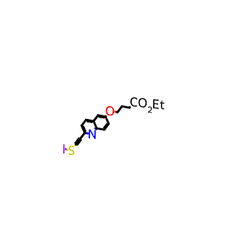 CCOC(=O)CCCOc1ccc2nc(C#CSI)ccc2c1